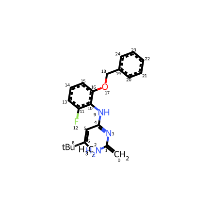 C=C(N)/N=C(\C=C(/C)C(C)(C)C)Nc1c(F)cccc1OCc1ccccc1